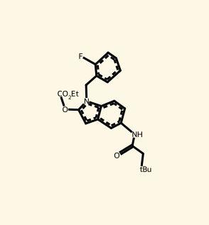 CCOC(=O)Oc1cc2cc(NC(=O)CC(C)(C)C)ccc2n1Cc1ccccc1F